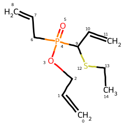 C=CCOP(=O)(CC=C)C(C=C)SCC